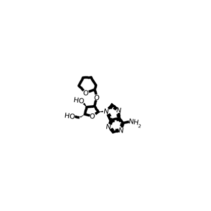 Nc1ncnc2c1ncn2[C@@H]1O[C@H](CO)[C@@H](O)C1OC1CCCCO1